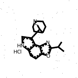 CC(C)c1nc2c(ccc3[nH]cc(C4CN5CCC4CC5)c32)o1.Cl